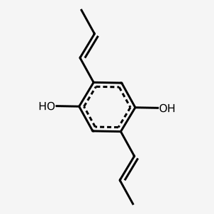 CC=Cc1cc(O)c(C=CC)cc1O